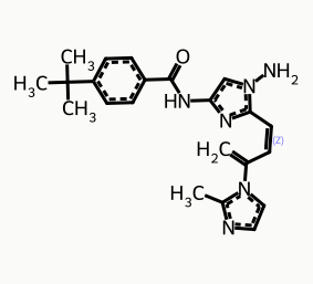 C=C(/C=C\c1nc(NC(=O)c2ccc(C(C)(C)C)cc2)cn1N)n1ccnc1C